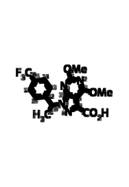 COc1nc(OC)c2c(C(=O)O)nn(C(C)c3ccc(C(F)(F)F)cc3)c2n1